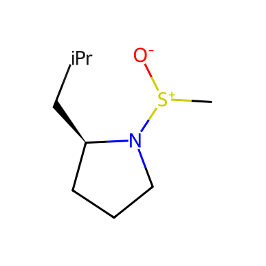 CC(C)C[C@@H]1CCCN1[S+](C)[O-]